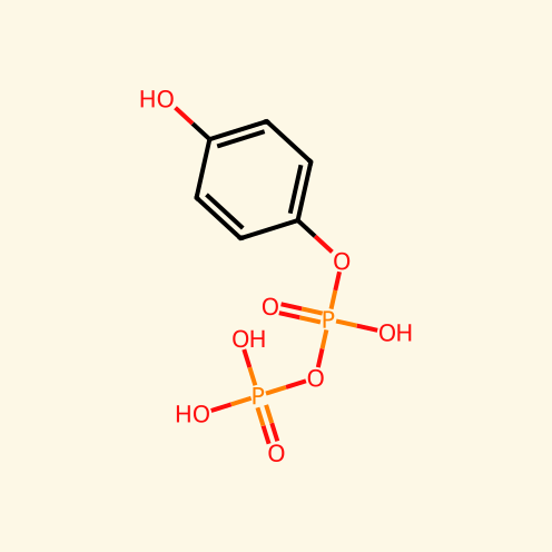 O=P(O)(O)OP(=O)(O)Oc1ccc(O)cc1